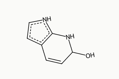 OC1C=Cc2cc[nH]c2N1